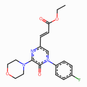 CCOC(=O)/C=C/c1cn(-c2ccc(F)cc2)c(=O)c(N2CCOCC2)n1